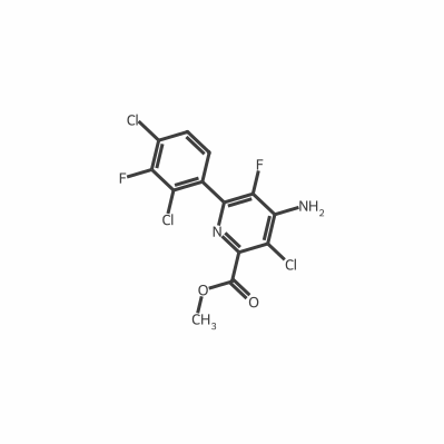 COC(=O)c1nc(-c2ccc(Cl)c(F)c2Cl)c(F)c(N)c1Cl